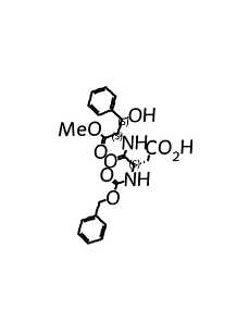 COC(=O)[C@@H](NC(=O)[C@H](CC(=O)O)NC(=O)OCc1ccccc1)[C@@H](O)c1ccccc1